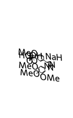 COc1ccc(-c2cnnn2-c2cc(OC)c(OC)c(OC)c2)cc1OP(=O)(O)O.[NaH]